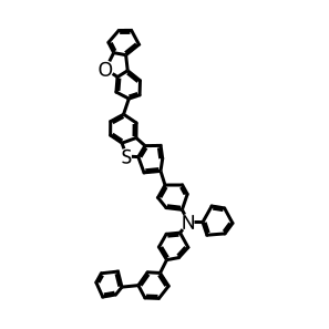 c1ccc(-c2cccc(-c3ccc(N(c4ccccc4)c4ccc(-c5ccc6c(c5)sc5ccc(-c7ccc8c(c7)oc7ccccc78)cc56)cc4)cc3)c2)cc1